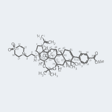 C=C(C)[C@@H]1CC[C@]2(NCCN3CCS(=O)(=O)CC3)C[C@@H]3OC(C)(C)O[C@H]4C[C@H]5C(C)(C)C(c6ccc(C(=O)OC)cc6)=CCC5(C)C5CC[C@H]([C@@H]12)[C@]3(C)[C@@]54C